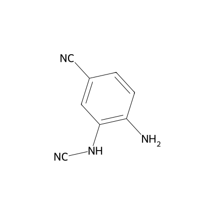 N#CNc1cc(C#N)ccc1N